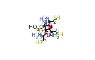 N[C@@H](CS)C(=O)C(S)(C(=O)[C@@H](N)CS)[C@](N)(C(=O)O)C(=O)[C@@H](N)CS